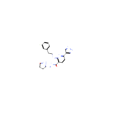 O=C1CC[C@H](CNC(=O)c2ccc(-c3cn[nH]c3)nc2NCCc2cccc(F)c2)N1